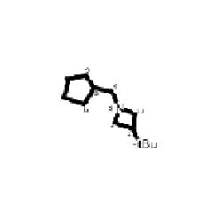 CC(C)(C)C1CN(CC2CCCC2)C1